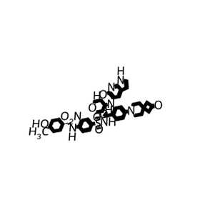 C[C@]1(O)CC[C@H](CNc2ccc(S(=O)(=O)NC(=O)c3ccc(N4CCC5(CC4)CC(=O)C5)cc3N3c4cc5cc[nH]c5nc4O[C@H]4COCC[C@@H]43)cc2[N+](=O)[O-])CC1